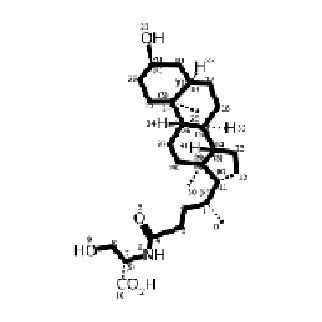 C[C@H](CCC(=O)N[C@@H](CO)C(=O)O)[C@H]1CC[C@H]2[C@@H]3CC[C@@H]4C[C@H](O)CC[C@]4(C)[C@H]3CC[C@]12C